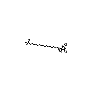 COC(=O)CCCCCCCCCCCCCCCCn1cnc2c(Cl)nc(Cl)nc21